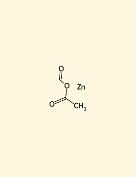 CC(=O)OC=O.[Zn]